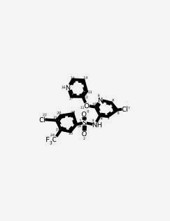 O=S(=O)(Nc1cc(Cl)cnc1Oc1cccnc1)c1ccc(Cl)c(C(F)(F)F)c1